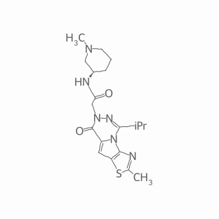 Cc1nc2c(cc3c(=O)n(CC(=O)N[C@@H]4CCCN(C)C4)nc(C(C)C)n32)s1